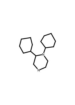 C1CCC(C2C[N]CCN2C2CCCCC2)CC1